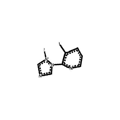 Ic1cccnc1-n1cnc[n+]1I